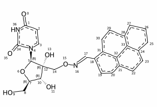 O=c1ccn([C@@H]2O[C@H](CO)[C@@H](O)[C@]2(O)CON=Cc2ccc3ccc4cccc5ccc2c3c45)c(=O)[nH]1